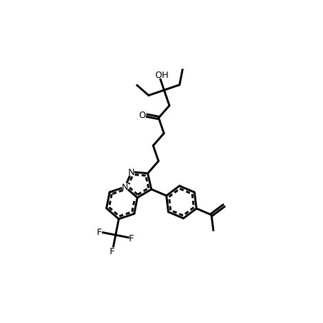 C=C(C)c1ccc(-c2c(CCCC(=O)CC(O)(CC)CC)nn3ccc(C(F)(F)F)cc23)cc1